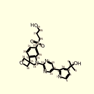 CC(C)(O)c1ccnc(-c2cnc(N3CC4(COC4)c4ccc(S(=O)(=O)CCCO)cc43)nc2)c1